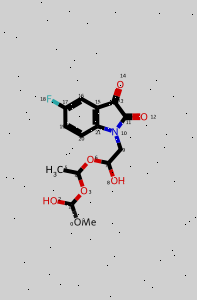 COC(O)OC(C)OC(O)CN1C(=O)C(=O)c2cc(F)ccc21